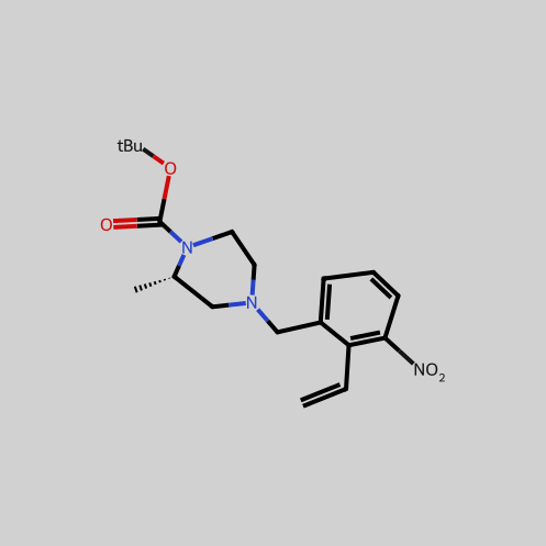 C=Cc1c(CN2CCN(C(=O)OC(C)(C)C)[C@@H](C)C2)cccc1[N+](=O)[O-]